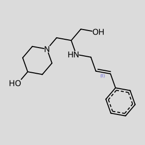 OCC(CN1CCC(O)CC1)NC/C=C/c1ccccc1